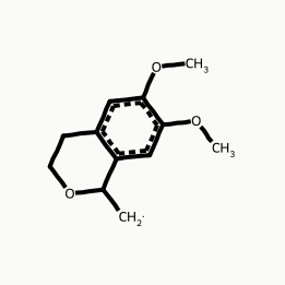 [CH2]C1OCCc2cc(OC)c(OC)cc21